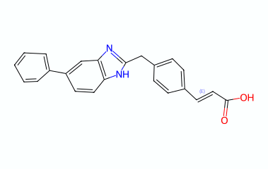 O=C(O)/C=C/c1ccc(Cc2nc3cc(-c4ccccc4)ccc3[nH]2)cc1